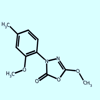 COc1nn(-c2ccc(C)cc2OC)c(=O)o1